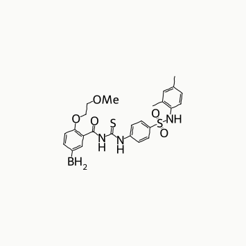 Bc1ccc(OCCOC)c(C(=O)NC(=S)Nc2ccc(S(=O)(=O)Nc3ccc(C)cc3C)cc2)c1